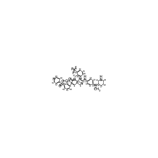 Cc1c(-c2cc3cnc(Nc4ccc(N(C)C5CCCNC5)cc4)nc3n(Cc3ccccc3C(F)(F)F)c2=O)cccc1S(=O)(=O)c1ccncc1